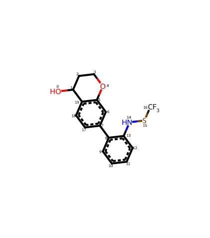 OC1CCOc2cc(-c3ccccc3NSC(F)(F)F)ccc21